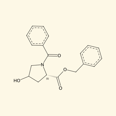 O=C(OCc1ccccc1)[C@@H]1CC(O)CN1C(=O)c1ccccc1